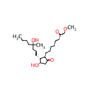 CCCCC(C)(O)C/C=C/[C@H]1[C@H](O)CC(=O)[C@@H]1CCCCCCC(=O)COC